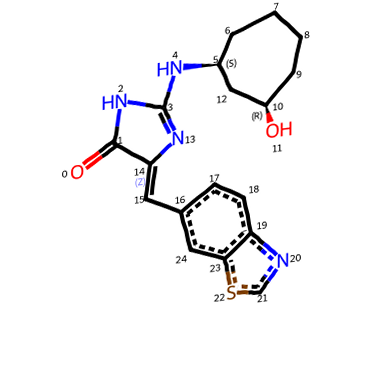 O=C1NC(N[C@H]2CCCC[C@@H](O)C2)=N/C1=C\c1ccc2ncsc2c1